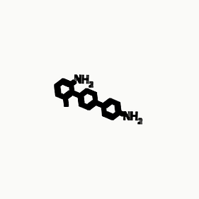 Cc1cccc(N)c1C1=CC=C(c2ccc(N)cc2)CC1